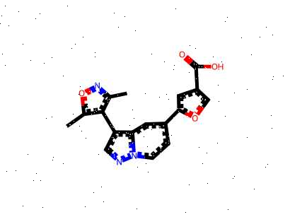 Cc1noc(C)c1-c1cnn2ccc(-c3cc(C(=O)O)co3)cc12